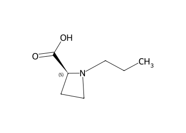 CCCN1CC[C@H]1C(=O)O